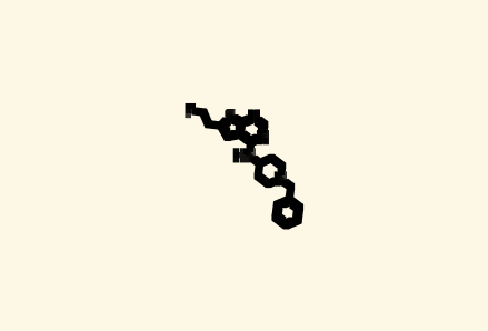 FCCc1cc2c(NC3CCN(Cc4ccccc4)CC3)ncnc2s1